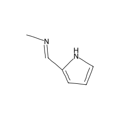 CN=Cc1ccc[nH]1